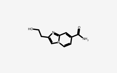 NC(=O)c1ccn2cc(CCO)nc2c1